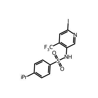 CC(C)c1ccc(S(=O)(=O)Nc2cnc(I)cc2C(F)(F)F)cc1